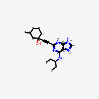 CCC(CC)Nc1nc(C#CC2(O)CCCC(C)C2)nc2[nH]cnc12